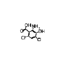 Nc1c(O)c(Cl)cc(Cl)c1C(=O)O